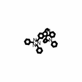 c1ccc(-c2nc(-c3ccccc3)nc(-c3ccc4c(c3)C3(c5ccccc5N(c5ccccc5)c5ccccc53)c3ncccc3-4)n2)cc1